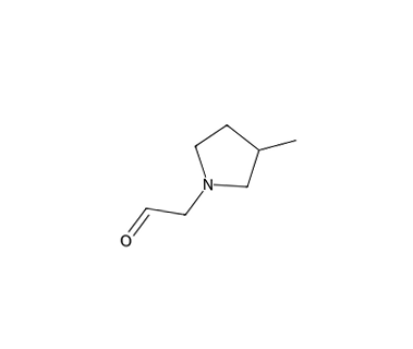 CC1CCN(CC=O)C1